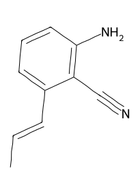 C/C=C/c1cccc(N)c1C#N